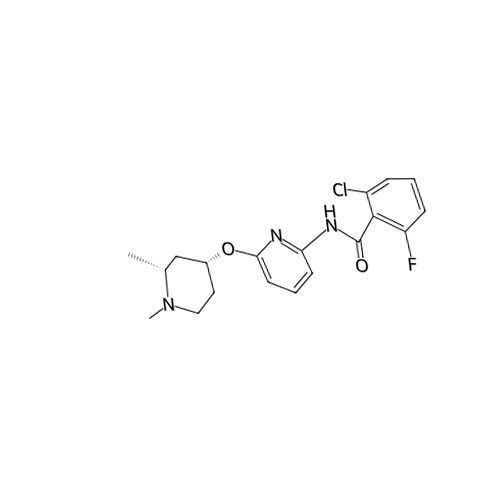 C[C@@H]1C[C@H](Oc2cccc(NC(=O)c3c(F)cccc3Cl)n2)CCN1C